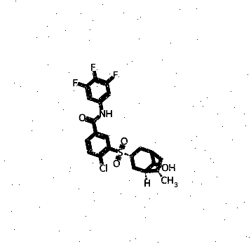 C[C@H]1CC2C[C@@H](S(=O)(=O)c3cc(C(=O)Nc4cc(F)c(F)c(F)c4)ccc3Cl)C[C@H]1C2O